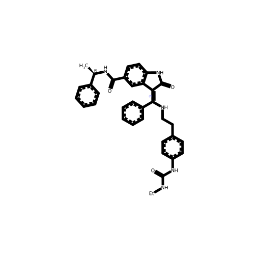 CCNC(=O)Nc1ccc(CCN/C(=C2\C(=O)Nc3ccc(C(=O)N[C@H](C)c4ccccc4)cc32)c2ccccc2)cc1